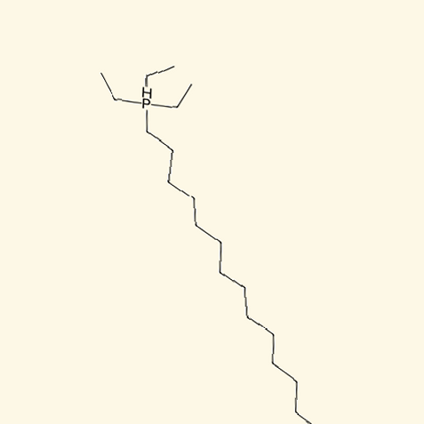 CCCCCCCCCCCCCC[PH](CC)(CC)CC